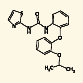 CC(C)Oc1ccccc1Oc1ccccc1NC(=O)Nc1nccs1